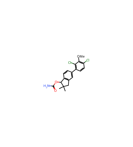 COc1c(Cl)ccc(-c2ccc3c(c2)CC(C)(C)C3OC(N)=O)c1Cl